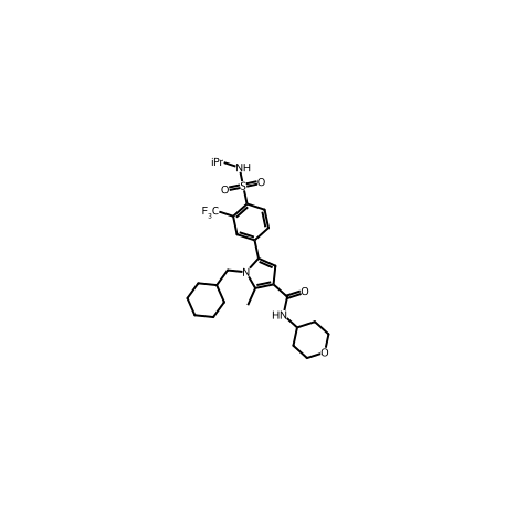 Cc1c(C(=O)NC2CCOCC2)cc(-c2ccc(S(=O)(=O)NC(C)C)c(C(F)(F)F)c2)n1CC1CCCCC1